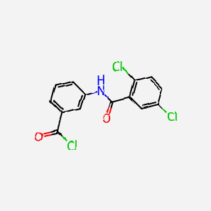 O=C(Cl)c1cccc(NC(=O)c2cc(Cl)ccc2Cl)c1